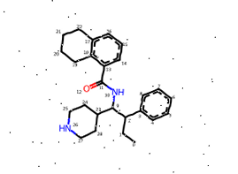 CCC(c1ccccc1)C(NC(=O)c1cccc2c1CCCC2)C1CCNCC1